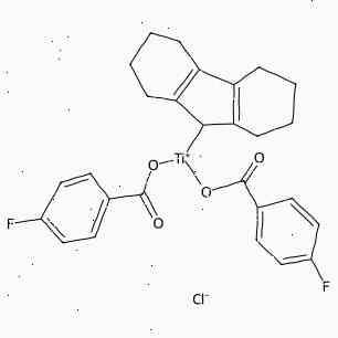 O=C([O][Ti+]([O]C(=O)c1ccc(F)cc1)[CH]1C2=C(CCCC2)C2=C1CCCC2)c1ccc(F)cc1.[Cl-]